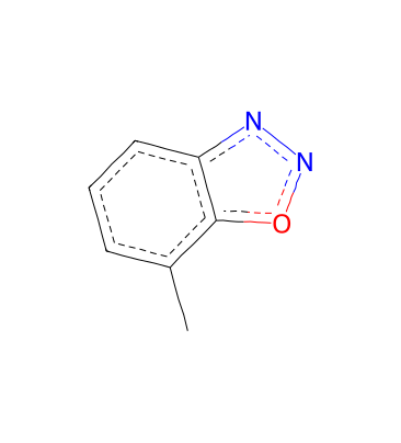 Cc1cccc2nnoc12